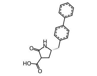 O=C(O)C1C[C@@H](Cc2ccc(-c3ccccc3)cc2)NC1=O